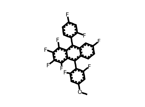 COc1cc(F)c(-c2c3ccc(F)cc3c(-c3ccc(F)cc3F)c3c(F)c(F)c(F)c(F)c23)c(F)c1